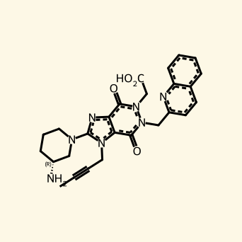 CC#CCn1c(N2CCC[C@@H](N)C2)nc2c(=O)n(CC(=O)O)n(Cc3ccc4ccccc4n3)c(=O)c21